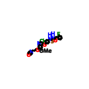 COc1cc2c(Oc3ccc(NC(=S)NC(=O)Cc4ccccc4F)cc3Cl)ccnc2cc1OCCCN1CCOCC1